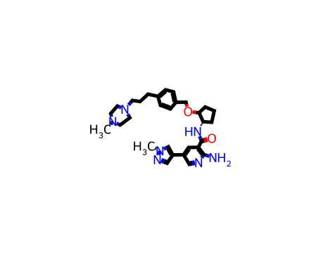 CN1CCN(CCCc2ccc(COC3CCC[C@@H]3NC(=O)c3cc(-c4cnn(C)c4)cnc3N)cc2)CC1